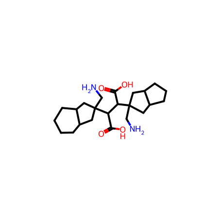 NCC1(C(C(=O)O)C(C(=O)O)C2(CN)CC3CCCC3C2)CC2CCCCC2C1